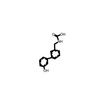 O=C(O)NCc1cccc(-c2cccc(O)c2)c1